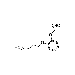 O=CCOc1ccccc1OCCCC(=O)O